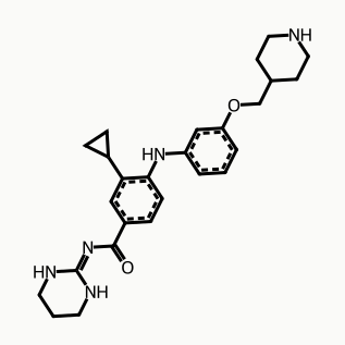 O=C(N=C1NCCCN1)c1ccc(Nc2cccc(OCC3CCNCC3)c2)c(C2CC2)c1